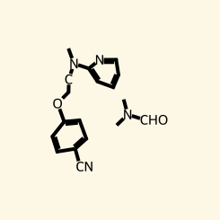 CN(C)C=O.CN(CCOc1ccc(C#N)cc1)c1ccccn1